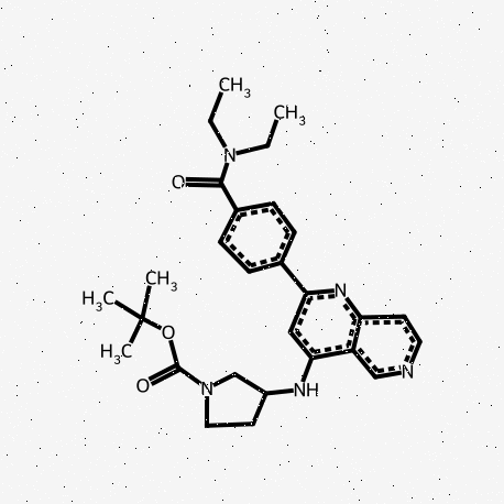 CCN(CC)C(=O)c1ccc(-c2cc(NC3CCN(C(=O)OC(C)(C)C)C3)c3cnccc3n2)cc1